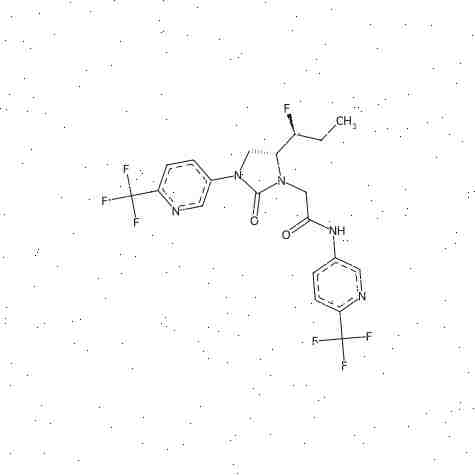 CC[C@H](F)[C@H]1CN(c2ccc(C(F)(F)F)nc2)C(=O)N1CC(=O)Nc1ccc(C(F)(F)F)nc1